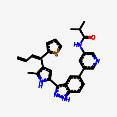 C=C/C=C(/c1cccs1)c1cc(-c2n[nH]c3ccc(-c4cncc(NC(=O)C(C)C)c4)cc23)[nH]c1C